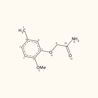 COc1ccc(C)cc1OCC(N)=O